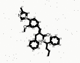 CCCC(NC(=O)/C(=C/c1ccc(-n2cnc(C)c2)c(OC)c1)Cc1ccccc1)c1ccccc1